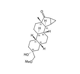 COC[C@@]1(O)CC[C@H]2[C@H](CC[C@@H]3[C@@H]2CC[C@]2(C)C(=O)C4CC4[C@@H]32)C1